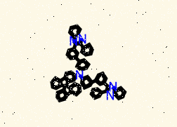 c1ccc(-c2nc3ccccc3nc2-c2cccc(-c3cccc(N(c4cccc(-c5cccc(-c6nc7ccccc7nc6-c6ccccc6)c5)c4)c4ccc5c(c4)C4(c6ccccc6-c6ccccc64)c4ccccc4-5)c3)c2)cc1